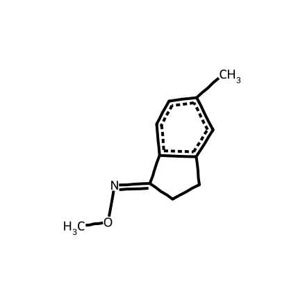 CO/N=C1\CCc2cc(C)ccc21